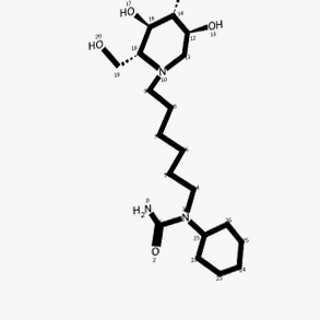 NC(=O)N(CCCCCCN1C[C@H](O)[C@@H](O)[C@H](O)[C@H]1CO)C1CCCCC1